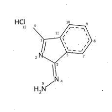 CC1=NC(=NN)c2ccccc21.Cl